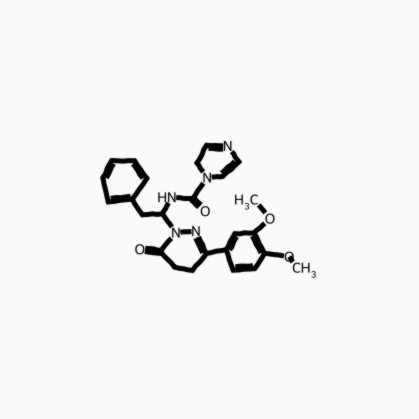 COc1ccc(C2=NN(C(Cc3ccccc3)NC(=O)N3C=CN=CC3)C(=O)CC2)cc1OC